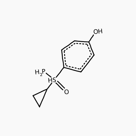 O=[SH](P)(c1ccc(O)cc1)C1CC1